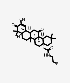 CC1(C)CC[C@@]2(CC(=O)NCCF)CC[C@]3(C)[C@H](C(=O)C[C@@H]4[C@@]5(C)C=C(C#N)C(=O)C(C)(C)[C@@H]5CC[C@]43C)[C@H]2C1